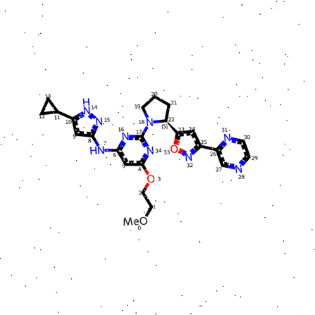 COCCOc1cc(Nc2cc(C3CC3)[nH]n2)nc(N2CCC[C@H]2c2cc(-c3cnccn3)no2)n1